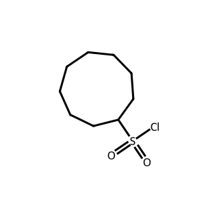 O=S(=O)(Cl)C1CCCCCCCC1